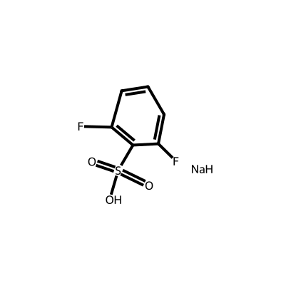 O=S(=O)(O)c1c(F)cccc1F.[NaH]